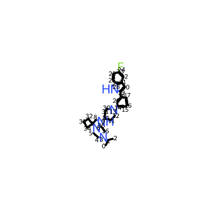 CC(C)N1CCN(C2(CNC3CCN(c4cccc(-c5cc6cc(F)ccc6[nH]5)c4)CC3)CCC2)CC1